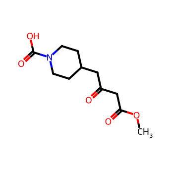 COC(=O)CC(=O)CC1CCN(C(=O)O)CC1